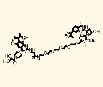 C=C(O)/C(=C(\C)F)c1c(Cl)cc2c(N3CCN(C(=O)C(O)O)CC3)nc(NCCC(=O)N(C)CCOCCOCCOCCOCCOCC(=O)N[C@H](C(=O)N3C[C@H](O)C[C@H]3C(=O)N[C@@H](C)c3ccc(-c4scnc4C)cc3)C(C)(C)C)nc2c1F